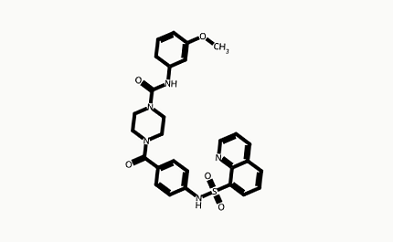 COC1=CC(NC(=O)N2CCN(C(=O)c3ccc(NS(=O)(=O)c4cccc5cccnc45)cc3)CC2)CC=C1